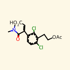 CC(=O)OCCc1c(Cl)ccc(C(=CC(=O)O)C(=O)N(C)C)c1Cl